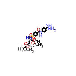 CC(C)(C)OC(=O)CC[C@H](NS(=O)(=O)c1ccc(C(=O)Nc2ccc(C(=N)N)cc2)cc1)C(=O)OC(C)(C)C